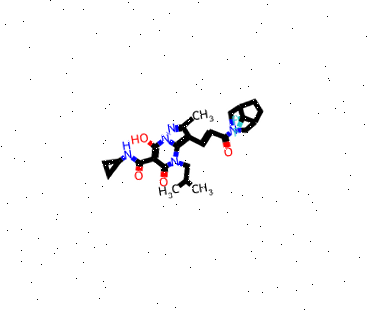 Cc1nn2c(O)c(C(=O)NC3CC3)c(=O)n(CC(C)C)c2c1C=CC(=O)N1CC2CCC(C1)C2(F)F